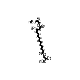 CCCCC(CC)COC(=O)CCCCCCCCCCC(CC(=O)OCC(CC)CCCC)C(C)C